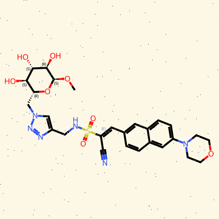 CO[C@H]1O[C@H](Cn2cc(CNS(=O)(=O)/C(C#N)=C/c3ccc4cc(N5CCOCC5)ccc4c3)nn2)[C@@H](O)[C@H](O)[C@H]1O